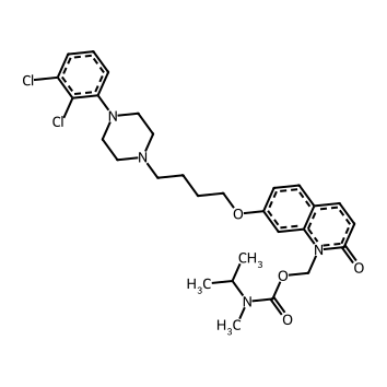 CC(C)N(C)C(=O)OCn1c(=O)ccc2ccc(OCCCCN3CCN(c4cccc(Cl)c4Cl)CC3)cc21